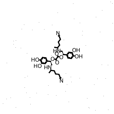 CC(CCCC#N)NC[C@H](OC(=O)C(=O)O[C@@H](CNC(C)CCCC#N)c1ccc(O)c(O)c1)c1ccc(O)c(O)c1